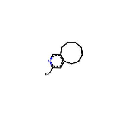 CC(C)c1cc2c(cn1)CCCCCCC2